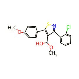 COc1ccc(-c2snc(-c3ccccc3Cl)c2C(O)OC)cc1